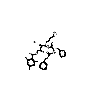 Cc1cc(C)c(C(=O)OCC(=O)C(=O)[C@H](CCCCN)NC(=O)[C@H](Cc2ccccc2)NC(=O)OCc2ccccc2)c(C)c1.Cl